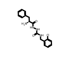 N[C@@H](Cc1ccccc1)C(=O)NNC(=O)NCc1ccccc1Cl